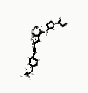 C=CC(=O)N1CCC(Nc2ncnc3[nH]c(C#Cc4ccc(OC(F)(F)F)cc4)cc23)C1